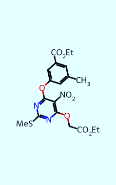 CCOC(=O)COc1nc(SC)nc(Oc2cc(C)cc(C(=O)OCC)c2)c1[N+](=O)[O-]